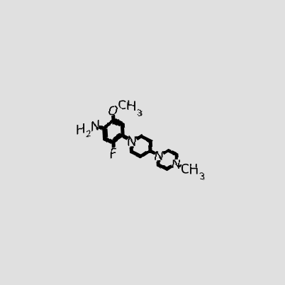 COc1cc(N2CCC(N3CCN(C)CC3)CC2)c(F)cc1N